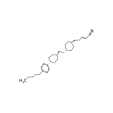 CCCCCc1ccc([C@H]2CC[C@H](CC[C@H]3CC[C@H](CC/C=C/C#N)CC3)CC2)cc1